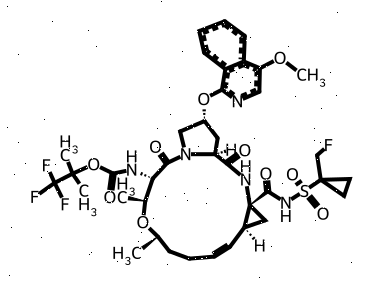 COc1cnc(O[C@@H]2C[C@H]3C(=O)N[C@]4(C(=O)NS(=O)(=O)C5(CF)CC5)C[C@H]4C=CCC[C@@H](C)O[C@@H](C)[C@H](NC(=O)OC(C)(C)C(F)(F)F)C(=O)N3C2)c2ccccc12